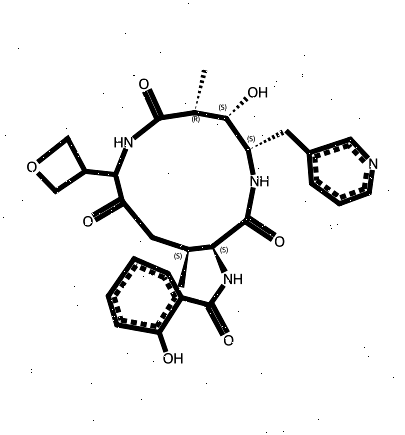 C[C@H]1CC(=O)C(C2COC2)NC(=O)[C@H](C)[C@H](O)[C@H](Cc2cccnc2)NC(=O)[C@H]1NC(=O)c1ccccc1O